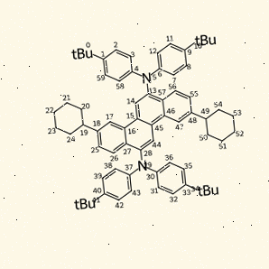 CC(C)(C)c1ccc(N(c2ccc(C(C)(C)C)cc2)c2cc3c4cc(C5CCCCC5)ccc4c(N(c4ccc(C(C)(C)C)cc4)c4ccc(C(C)(C)C)cc4)cc3c3cc(C4CCCCC4)ccc23)cc1